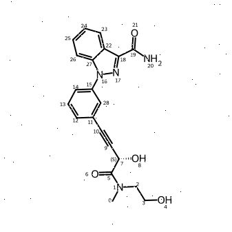 CN(CCO)C(=O)[C@@H](O)C#Cc1cccc(-n2nc(C(N)=O)c3ccccc32)c1